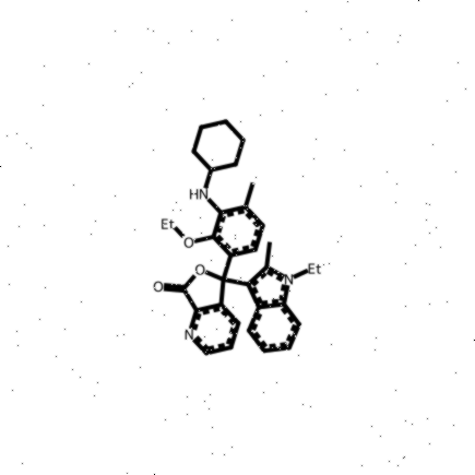 CCOc1c(C2(c3c(C)n(CC)c4ccccc34)OC(=O)c3ncccc32)ccc(C)c1NC1CCCCC1